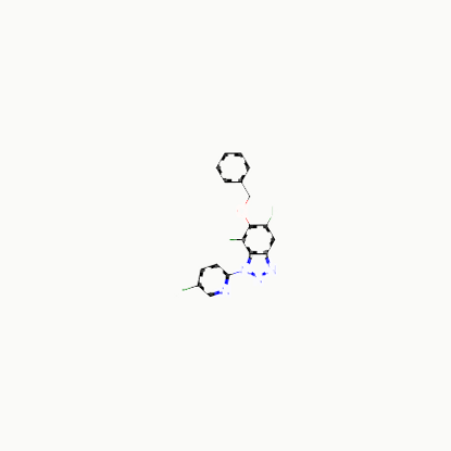 Fc1cc2nnn(-c3ccc(Cl)cn3)c2c(F)c1OCc1ccccc1